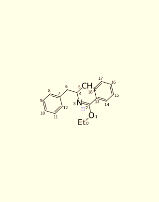 CCO/C(=N/C(C)Cc1ccccc1)c1ccccc1